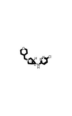 Clc1ccc(N[C@@H]2C3CN(CC4CCOCC4)C[C@H]32)nn1